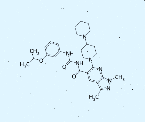 Cc1nn(C)c2nc(N3CCC(N4CCCCC4)CC3)c(C(=O)NC(=O)Nc3cccc(OC(C)C)c3)cc12